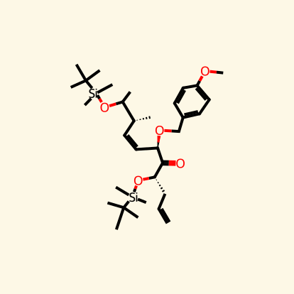 C=CC[C@H](O[Si](C)(C)C(C)(C)C)C(=O)[C@@H](/C=C\[C@@H](C)C(C)O[Si](C)(C)C(C)(C)C)OCc1ccc(OC)cc1